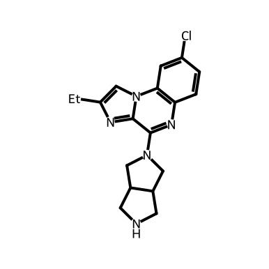 CCc1cn2c(n1)c(N1CC3CNCC3C1)nc1ccc(Cl)cc12